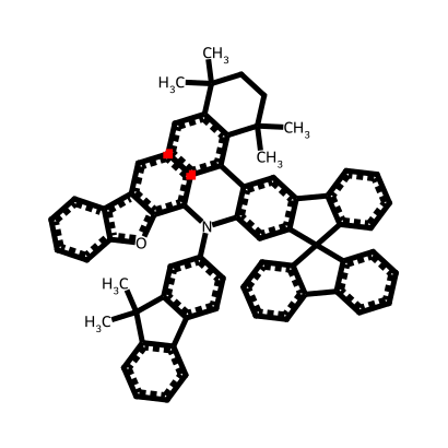 CC1(C)CCC(C)(C)c2c(-c3cc4c(cc3N(c3ccc5c(c3)C(C)(C)c3ccccc3-5)c3cccc5c3oc3ccccc35)C3(c5ccccc5-c5ccccc53)c3ccccc3-4)cccc21